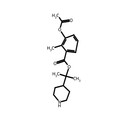 CC(=O)Oc1cccc(C(=O)OC(C)(C)C2CCNCC2)c1C